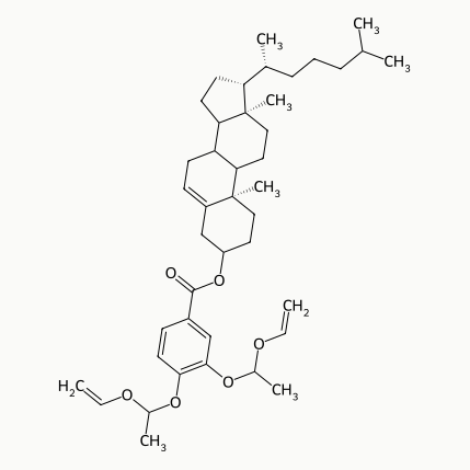 C=COC(C)Oc1ccc(C(=O)OC2CC[C@@]3(C)C(=CCC4C3CC[C@@]3(C)C4CC[C@@H]3[C@H](C)CCCC(C)C)C2)cc1OC(C)OC=C